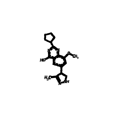 COc1cc(C2CNN=C2C)cc2c(O)nc(C3CCCC3)nc12